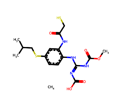 C.COC(=O)NC(=NC(=O)O)Nc1ccc(SCC(C)C)cc1NC(=O)CS